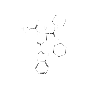 CCC[C@@](CC(=O)c1oc2ccccc2[n+]1C1CCCCC1)(OC(N)=O)C(=O)N1CCOCC1